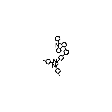 Cc1ccc(-c2cc(-c3ccc(-c4cccc(-c5cccc6c(-c7ccccc7)nc7ccccc7c56)c4)cc3)nc(-c3ccc(C)cc3)n2)cc1